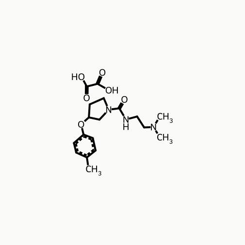 Cc1ccc(OC2CCN(C(=O)NCCN(C)C)C2)cc1.O=C(O)C(=O)O